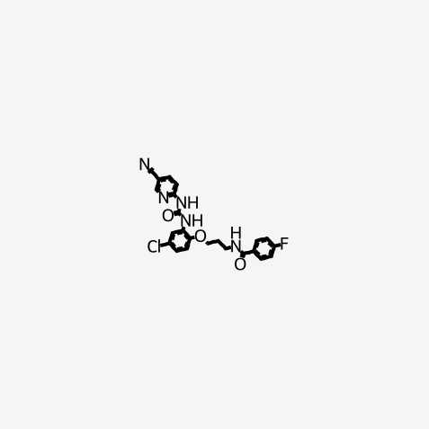 N#Cc1ccc(NC(=O)Nc2cc(Cl)ccc2OCCCNC(=O)c2ccc(F)cc2)nc1